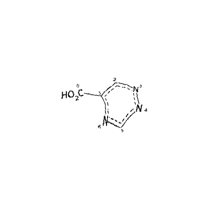 O=C(O)c1cnncn1